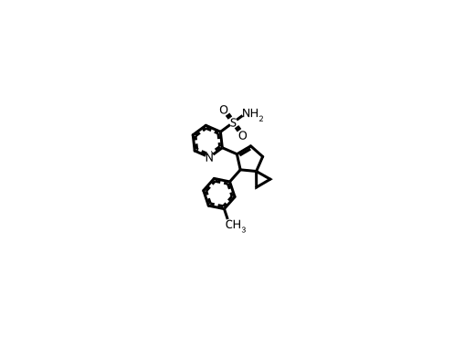 Cc1cccc(C2C(c3ncccc3S(N)(=O)=O)=CCC23CC3)c1